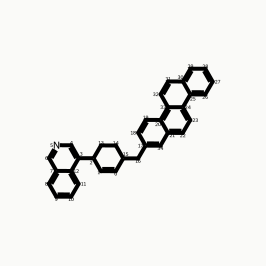 C1=CC(c2cncc3ccccc23)CCC1Cc1ccc2c(ccc3c4ccccc4ccc23)c1